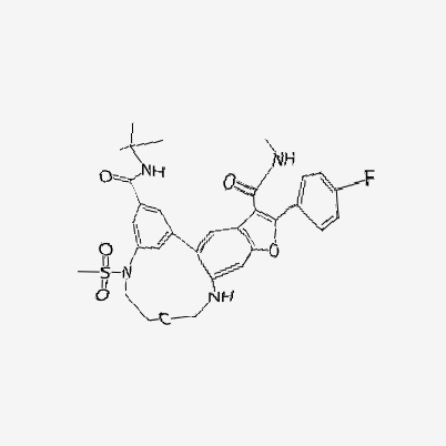 CNC(=O)c1c(-c2ccc(F)cc2)oc2cc3c(cc12)-c1cc(C(=O)NC(C)(C)C)cc(c1)N(S(C)(=O)=O)CCCCN3